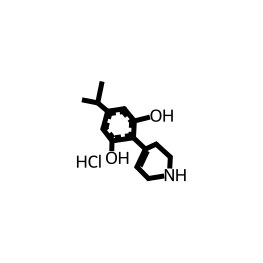 CC(C)c1cc(O)c(C2=CCNCC2)c(O)c1.Cl